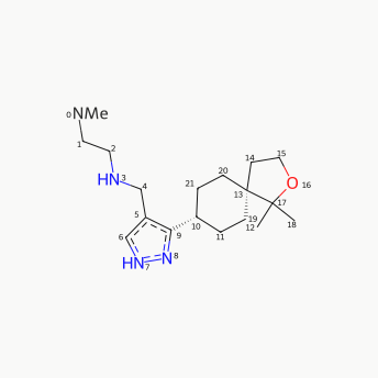 CNCCNCc1c[nH]nc1[C@H]1CC[C@@]2(CCOC2(C)C)CC1